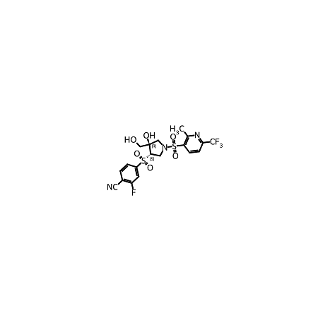 Cc1nc(C(F)(F)F)ccc1S(=O)(=O)N1C[C@H](S(=O)(=O)c2ccc(C#N)c(F)c2)[C@](O)(CO)C1